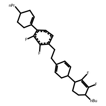 CCCCC1CCC(C2C=CC(CCc3ccc(C4=CCC(CCC)CC4)c(F)c3F)=CC2)C(F)=C1F